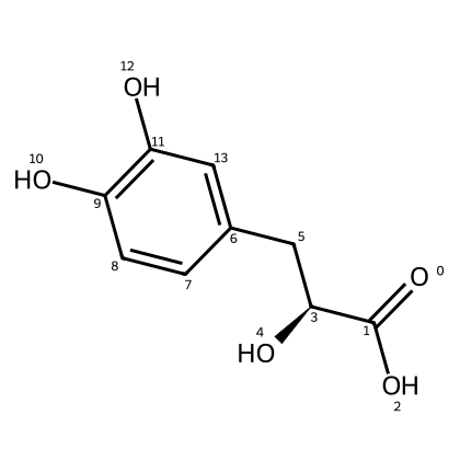 O=C(O)[C@@H](O)Cc1ccc(O)c(O)c1